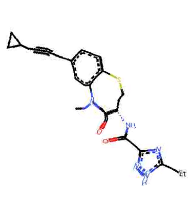 CCc1nc(C(=O)N[C@H]2CSc3ccc(C#CC4CC4)cc3N(C)C2=O)n[nH]1